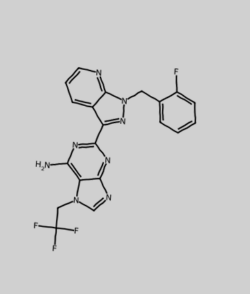 Nc1nc(-c2nn(Cc3ccccc3F)c3ncccc23)nc2ncn(CC(F)(F)F)c12